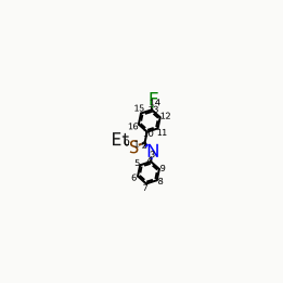 CCS/C(=N\c1ccccc1)c1ccc(F)cc1